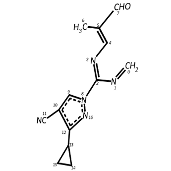 C=N/C(=N\C=C(/C)C=O)n1cc(C#N)c(C2CC2)n1